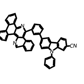 N#Cc1ccc2c3cc(-c4cccc(-c5nc6c7ccccc7c7ccccc7c6c6ncc7ccccc7c56)c4)ccc3n(-c3ccccc3)c2c1